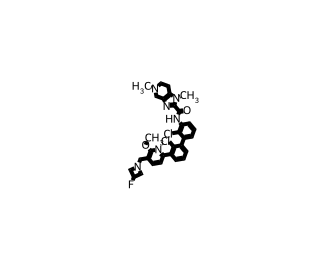 COc1nc(-c2cccc(-c3cccc(NC(=O)c4nc5c(n4C)CCN(C)C5)c3Cl)c2Cl)ccc1CN1CC(F)C1